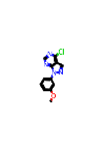 COc1cccc(-n2ncc3c(Cl)ncnc32)c1